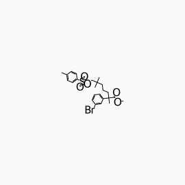 COC(=O)C(C)(CCCC(C)(C)COS(=O)(=O)c1ccc(C)cc1)c1cccc(Br)c1